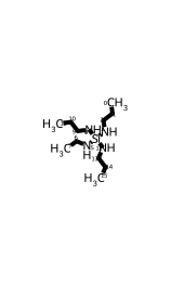 CCCN[Si](NCC)(NCCC)NCCC